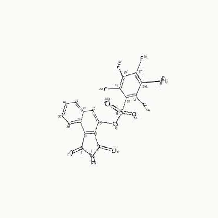 O=C1NC(=O)c2c1c(OS(=O)(=O)c1c(F)c(F)c(F)c(F)c1F)cc1ccccc21